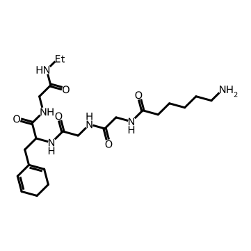 CCNC(=O)CNC(=O)C(CC1=CCCC=C1)NC(=O)CNC(=O)CNC(=O)CCCCCN